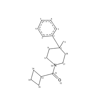 CC1(c2ccccc2)CCN(C(=O)C2CCC2)CC1